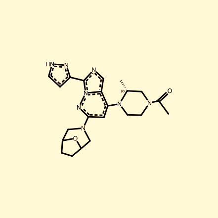 CC(=O)N1CCN(c2cc(N3CC4CCC(C3)O4)nn3c(-c4cc[nH]n4)ncc23)[C@H](C)C1